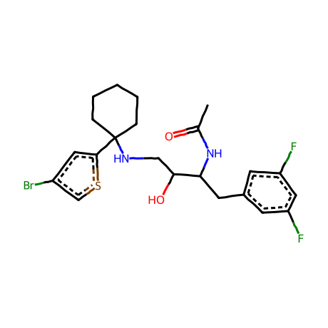 CC(=O)NC(Cc1cc(F)cc(F)c1)C(O)CNC1(c2cc(Br)cs2)CCCCC1